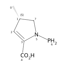 C[C@H]1C=C(C(=O)O)N(P)C1